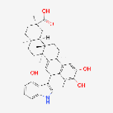 Cc1c(O)c(O)cc2c1C(c1c[nH]c3cccc(O)c13)C=C1[C@@]2(C)CC[C@@]2(C)[C@@H]3C[C@](C)(C(=O)O)CC[C@]3(C)CC[C@]12C